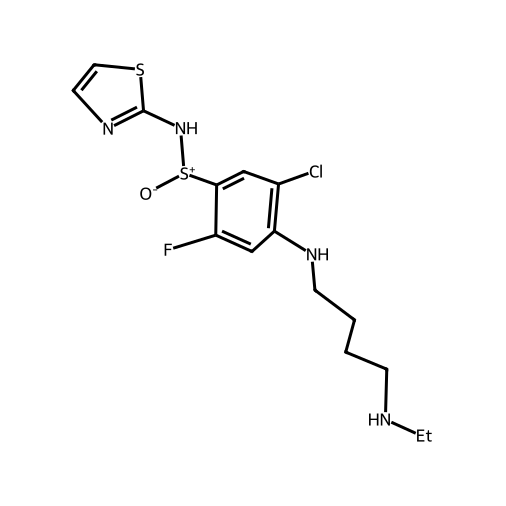 CCNCCCCNc1cc(F)c([S+]([O-])Nc2nccs2)cc1Cl